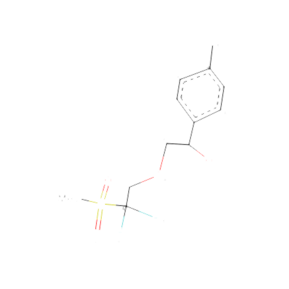 COS(=O)(=O)C(F)(F)COCC(O)c1ccc(C)cc1